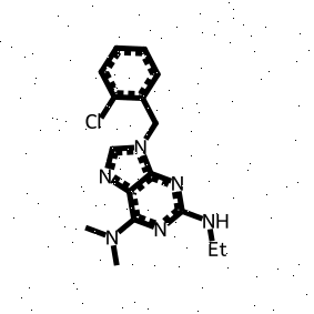 CCNc1nc(N(C)C)c2ncn(Cc3ccccc3Cl)c2n1